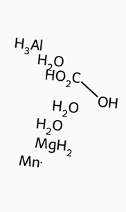 O.O.O.O=C(O)O.[AlH3].[MgH2].[Mn]